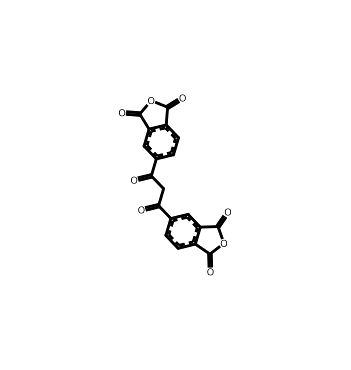 O=C(CC(=O)c1ccc2c(c1)C(=O)OC2=O)c1ccc2c(c1)C(=O)OC2=O